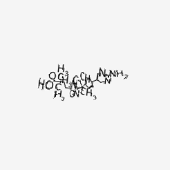 CC(C)C(C)(c1ccc(-c2cnc(N)nc2)cc1)c1noc(CCC(C)(C)C(=O)O)n1